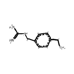 CCc1ccc(CNC(=N)N)cc1